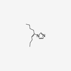 CCC/C=C(/CCCC)n1ccnc1